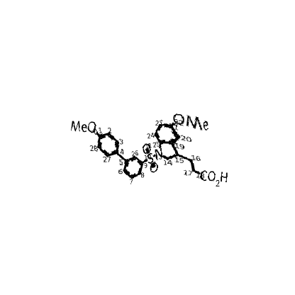 COc1ccc(-c2cccc(S(=O)(=O)N3CC(CCC(=O)O)c4cc(OC)ccc43)c2)cc1